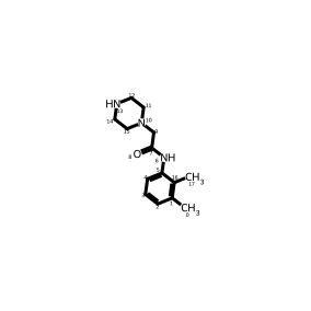 Cc1cccc(NC(=O)CN2CCNCC2)c1C